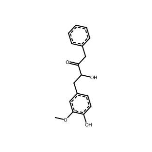 COc1cc(CC(O)C(=O)Cc2ccccc2)ccc1O